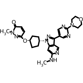 CNc1cc2c(cn1)c(-c1cnc(N3CCOCC3)nc1)nn2[C@H]1CC[C@@H](Oc2ccc(=O)n(C)n2)CC1